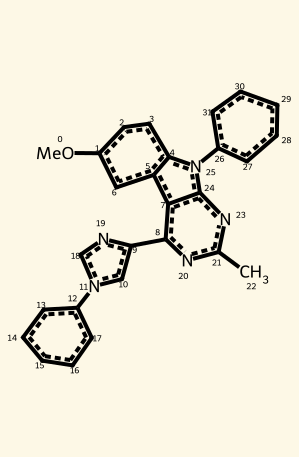 COc1ccc2c(c1)c1c(-c3cn(-c4ccccc4)cn3)nc(C)nc1n2-c1ccccc1